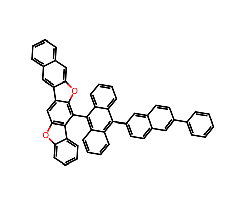 c1ccc(-c2ccc3cc(-c4c5ccccc5c(-c5c6oc7cc8ccccc8cc7c6cc6oc7ccccc7c56)c5ccccc45)ccc3c2)cc1